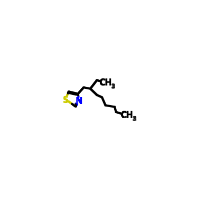 CCCCCCC(CC)Cc1cscn1